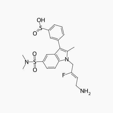 Cc1c(-c2cccc(S(=O)O)c2)c2cc(S(=O)(=O)N(C)C)ccc2n1C/C(F)=C/CN